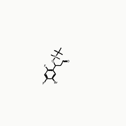 CC(C)(C)[Si](C)(C)OC(CC=O)c1cc(Br)c(F)cc1F